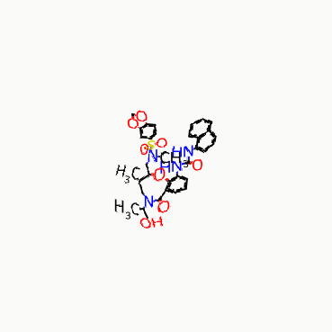 CC1CN(C(C)CO)C(=O)c2cccc(NC(=O)Nc3cccc4ccccc34)c2OC1CN(C)S(=O)(=O)c1ccc2c(c1)OCO2